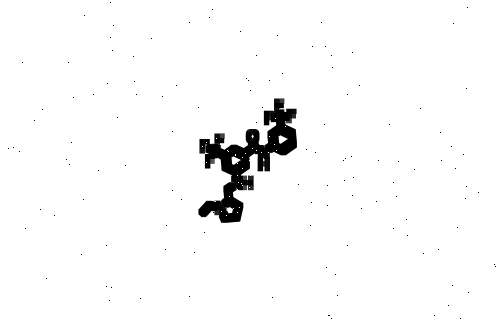 CCN1CCCC1CNc1cc(C(=O)Nc2cccc(C(F)(F)F)c2)cc(C(F)(F)F)c1